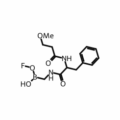 COCCC(=O)NC(Cc1ccccc1)C(=O)NCB(O)OF